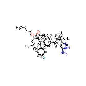 CCCCOC(=O)[C@]12CCC(C)(C)C[C@H]1C1=C(c3cccc(F)c3)CC3[C@@]4(C)Cc5c(n[nH]c5N)C(C)(C)[C@@H]4CC[C@@]3(C)[C@]1(C)CC2